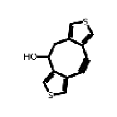 OC1Cc2cscc2C#Cc2cscc21